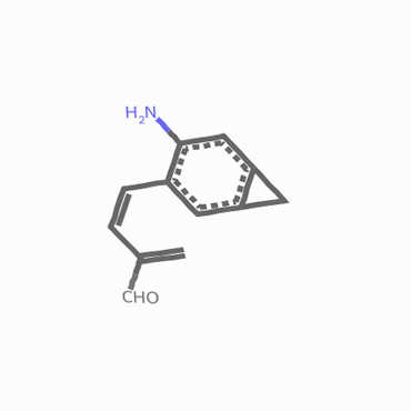 C=C(C=O)/C=C\c1cc2c(cc1N)C2